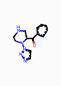 O=C(c1ccccc1)C1CNCCN1n1ccnn1